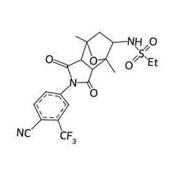 CCS(=O)(=O)NC1CC2(C)OC1(C)C1C(=O)N(c3ccc(C#N)c(C(F)(F)F)c3)C(=O)C12